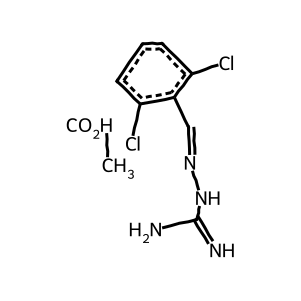 CC(=O)O.N=C(N)NN=Cc1c(Cl)cccc1Cl